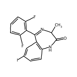 CC1N=C(c2c(F)cccc2F)c2cc(I)ccc2NC1=O